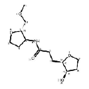 COC[C@H]1OCCC1NC(=O)CC[C@H]1OCC[C@H]1O